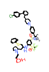 C=C(N[S+]([O-])c1ccc(NC(CSc2ccccc2)CC2CCCN2CCO)c([S+]([O-])C(F)(F)F)c1)c1ccc(N2CCC(Cc3ccccc3-c3ccc(Cl)cc3)CC2)cc1